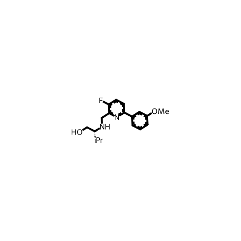 COc1cccc(-c2ccc(F)c(CN[C@@H](CO)C(C)C)n2)c1